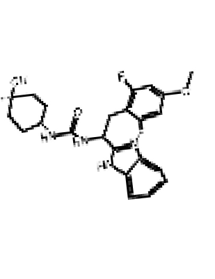 COc1cc(F)c(CC(NC(=O)N[C@H]2CC[C@](C)(O)CC2)c2nc3ccccc3[nH]2)c(F)c1